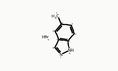 Br.Cc1ccc2[nH]ncc2c1